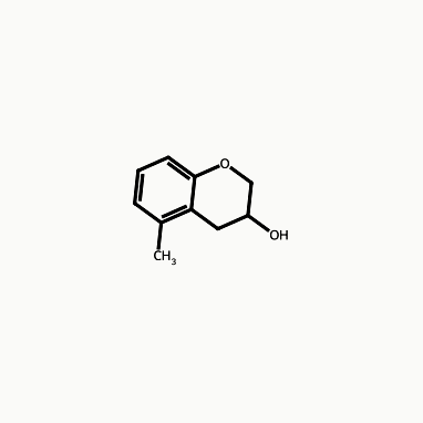 Cc1cccc2c1CC(O)CO2